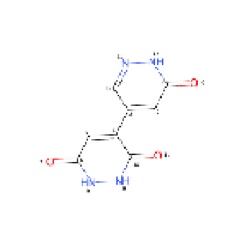 O=c1cc(-c2cc(=O)[nH][nH]c2=O)[c]n[nH]1